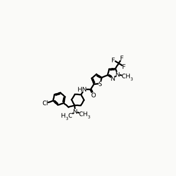 CN(C)C1(Cc2cccc(Cl)c2)CCC(NC(=O)c2ccc(-c3cc(C(F)(F)F)n(C)n3)s2)CC1